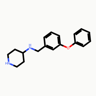 c1ccc(Oc2cccc(CNC3CCNCC3)c2)cc1